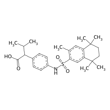 Cc1cc2c(cc1S(=O)(=O)Nc1ccc(C(C(=O)O)C(C)C)cc1)C(C)(C)CCC2(C)C